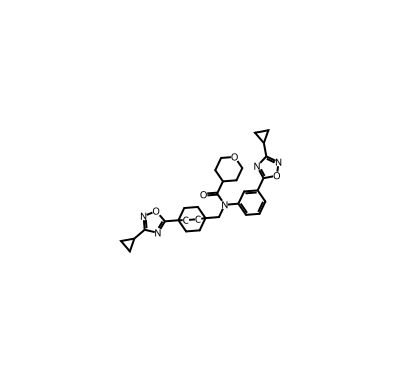 O=C(C1CCOCC1)N(CC12CCC(c3nc(C4CC4)no3)(CC1)CC2)c1cccc(-c2nc(C3CC3)no2)c1